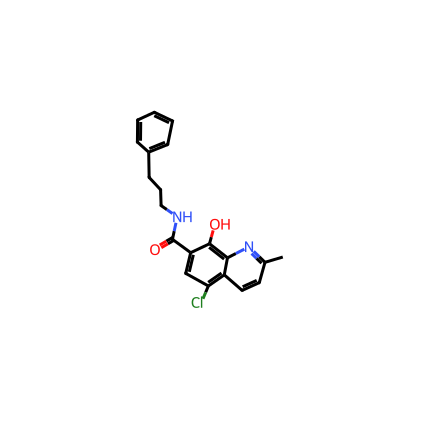 Cc1ccc2c(Cl)cc(C(=O)NCCCc3ccccc3)c(O)c2n1